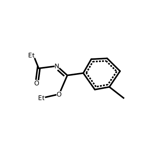 CCO/C(=N\C(=O)CC)c1cccc(C)c1